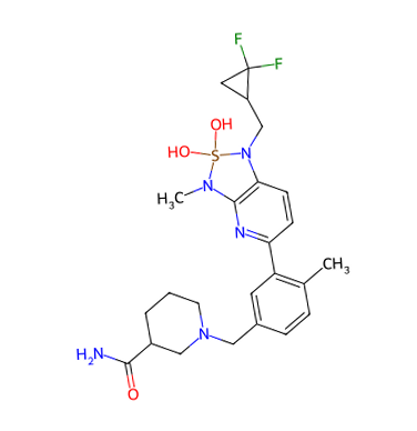 Cc1ccc(CN2CCCC(C(N)=O)C2)cc1-c1ccc2c(n1)N(C)S(O)(O)N2CC1CC1(F)F